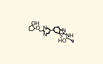 OC(Nc1nc2ccc(-c3cnc(CO[C@H]4CCC[C@@H]4O)nc3)cc2s1)C1CC1